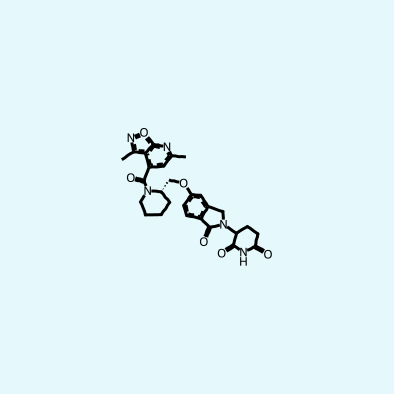 Cc1cc(C(=O)N2CCCC[C@H]2COc2ccc3c(c2)CN(C2CCC(=O)NC2=O)C3=O)c2c(C)noc2n1